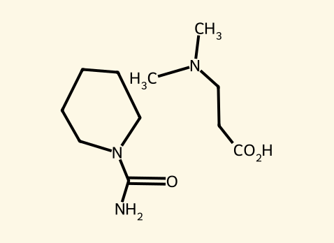 CN(C)CCC(=O)O.NC(=O)N1CCCCC1